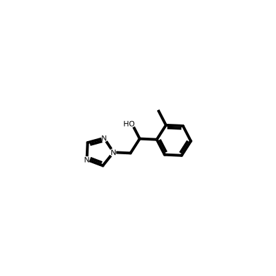 Cc1ccccc1C(O)Cn1cncn1